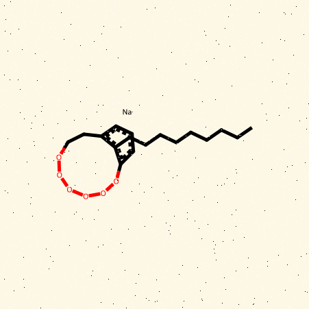 CCCCCCCCCc1c2cccc1OOOOOOCC2.[Na]